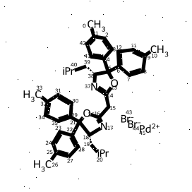 Cc1ccc(C2(c3ccc(C)cc3)OC(CC3=N[C@H](CC(C)C)C(c4ccc(C)cc4)(c4ccc(C)cc4)O3)=N[C@@H]2CC(C)C)cc1.[Br-].[Br-].[Pd+2]